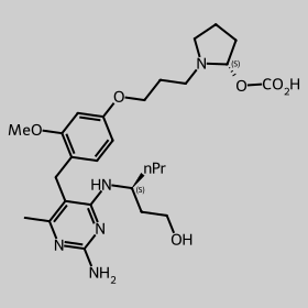 CCC[C@@H](CCO)Nc1nc(N)nc(C)c1Cc1ccc(OCCCN2CCC[C@@H]2OC(=O)O)cc1OC